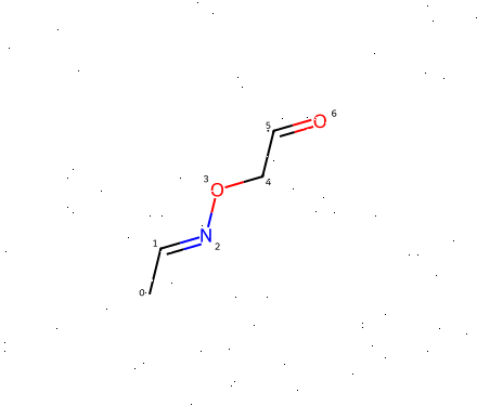 C/C=N/OC[C]=O